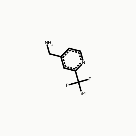 CC(C)C(F)(F)c1cc(CN)ccn1